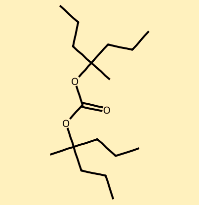 CCCC(C)(CCC)OC(=O)OC(C)(CCC)CCC